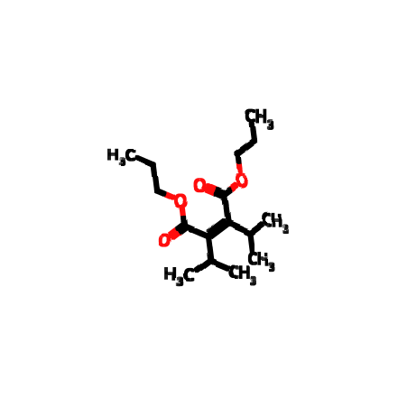 CCCOC(=O)C(=C(C(=O)OCCC)C(C)C)C(C)C